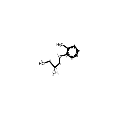 Cc1ccccc1OC[C@H](C)CO